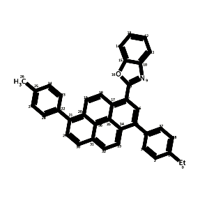 CCc1ccc(-c2cc(-c3nc4ccccc4o3)c3ccc4c(-c5ccc(C)cc5)ccc5ccc2c3c54)cc1